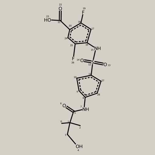 CC(C)(CO)C(=O)Nc1ccc(S(=O)(=O)Nc2cc(F)c(C(=O)O)cc2F)cc1